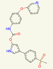 CS(=O)(=O)c1ccc(-c2c[nH]c(OC(=O)Nc3ccc(Oc4cccnc4)cc3)c2)cc1